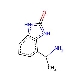 CC(N)c1cccc2[nH]c(=O)[nH]c12